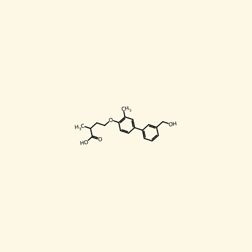 Cc1cc(-c2cccc(CO)c2)ccc1OCCC(C)C(=O)O